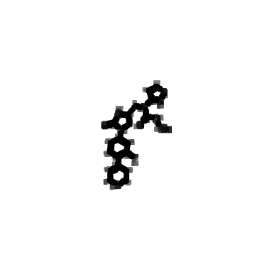 CC(C)(C)OC(=O)N(C[C@H]1CN(c2ccc(C3=CCSCC3)c(F)c2)C(=O)O1)c1ccon1